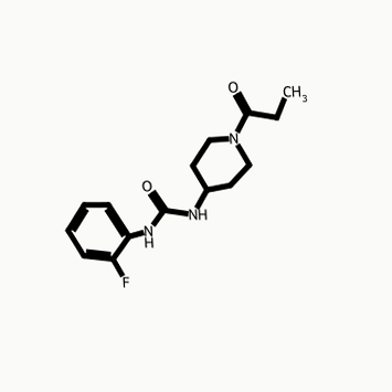 CCC(=O)N1CCC(NC(=O)Nc2ccccc2F)CC1